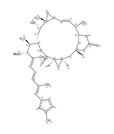 CO[C@@H](/C(C)=C/C=C/C(C)=C/c1coc(C)n1)[C@@H](C)[C@@H]1C[C@H](O)[C@]2(C)OC2/C=C/C(C)C2C[C@H](CC(=O)O2)C[C@H]2O[C@H]2C(=O)O1